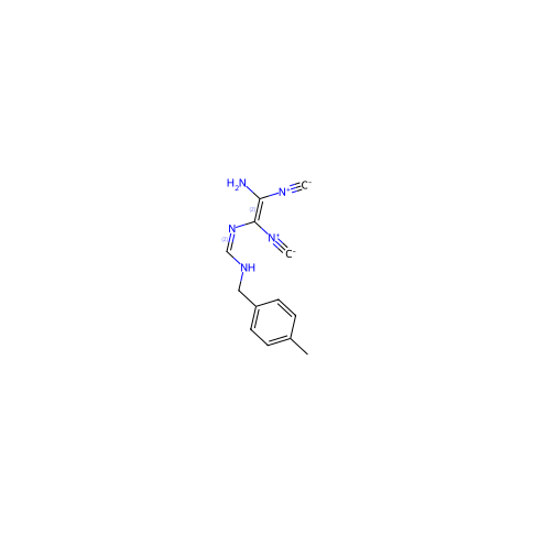 [C-]#[N+]/C(N)=C(/N=C\NCc1ccc(C)cc1)[N+]#[C-]